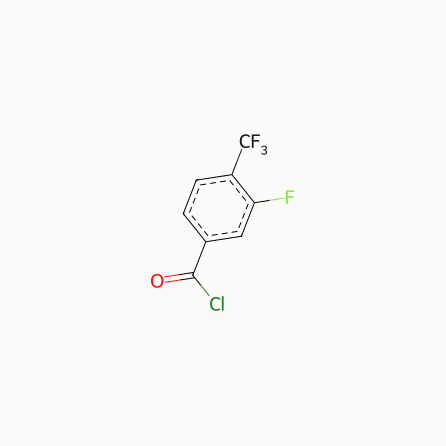 O=C(Cl)c1ccc(C(F)(F)F)c(F)c1